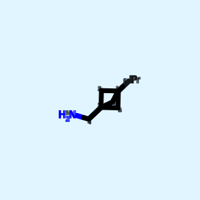 CC(C)C12CC(CN)(C1)C2